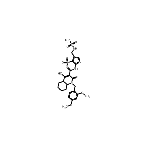 COc1ccc(CN2C(=O)C(C3=NS(=O)(=O)c4c(CNS(C)(=O)=O)csc4N3)=C(O)C3CCCCC32)c(OC)c1